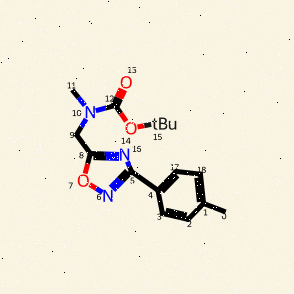 Cc1ccc(-c2noc(CN(C)C(=O)OC(C)(C)C)n2)cc1